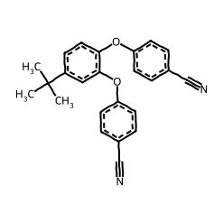 CC(C)(C)c1ccc(Oc2ccc(C#N)cc2)c(Oc2ccc(C#N)cc2)c1